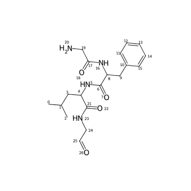 CC(C)CC(NC(=O)C(Cc1ccccc1)NC(=O)CN)C(=O)NCC=O